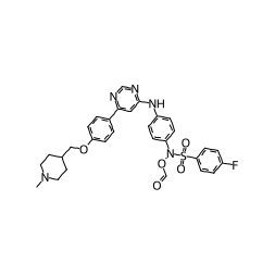 CN1CCC(COc2ccc(-c3cc(Nc4ccc(N(OC=O)S(=O)(=O)c5ccc(F)cc5)cc4)ncn3)cc2)CC1